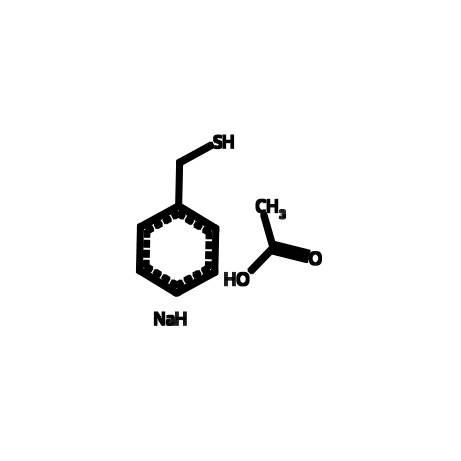 CC(=O)O.SCc1ccccc1.[NaH]